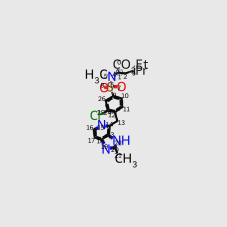 CCOC(=O)[C@H](CC(C)C)N(C)S(=O)(=O)c1ccc(Cc2nccc3nc(C)[nH]c23)c(Cl)c1